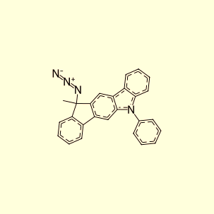 CC1(N=[N+]=[N-])c2ccccc2-c2cc3c(cc21)c1ccccc1n3-c1ccccc1